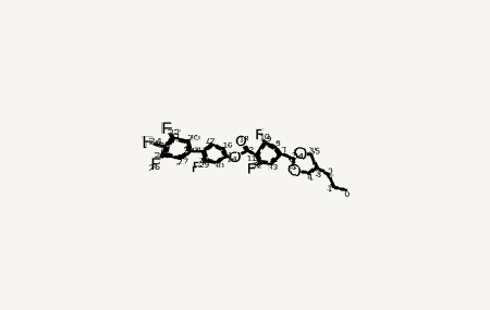 CCCC1COC(c2cc(F)c(C(=O)Oc3ccc(-c4cc(F)c(F)c(F)c4)c(F)c3)c(F)c2)OC1